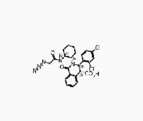 [N-]=[N+]=NCC(=O)N[C@H]1CCCC[C@@H]1N1C(=O)c2ccccc2[C@@H](C(=O)O)[C@@H]1c1ccc(Cl)cc1Cl